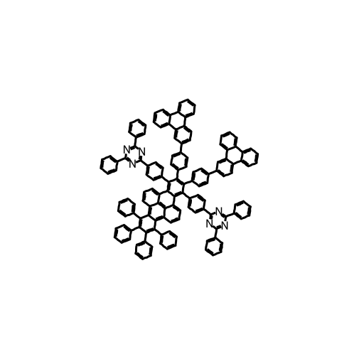 c1ccc(-c2nc(-c3ccccc3)nc(-c3ccc(-c4c(-c5ccc(-c6ccc7c8ccccc8c8ccccc8c7c6)cc5)c(-c5ccc(-c6ccc7c8ccccc8c8ccccc8c7c6)cc5)c(-c5ccc(-c6nc(-c7ccccc7)nc(-c7ccccc7)n6)cc5)c5c6cccc7c8c(-c9ccccc9)c(-c9ccccc9)c(-c9ccccc9)c(-c9ccccc9)c8c8cccc(c45)c8c76)cc3)n2)cc1